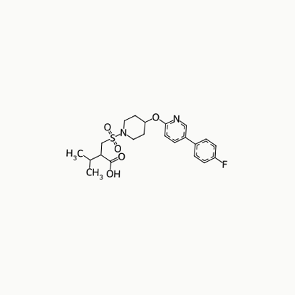 CC(C)C(CS(=O)(=O)N1CCC(Oc2ccc(-c3ccc(F)cc3)cn2)CC1)C(=O)O